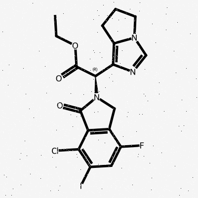 CCOC(=O)[C@@H](c1ncn2c1CCC2)N1Cc2c(F)cc(I)c(Cl)c2C1=O